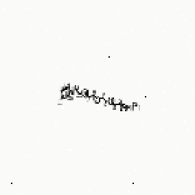 CCCOCCOCCOCCOCCn1cc[n+](C)c1